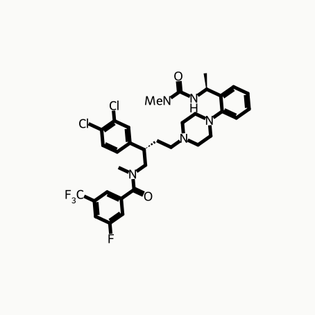 CNC(=O)N[C@@H](C)c1ccccc1N1CCN(CC[C@H](CN(C)C(=O)c2cc(F)cc(C(F)(F)F)c2)c2ccc(Cl)c(Cl)c2)CC1